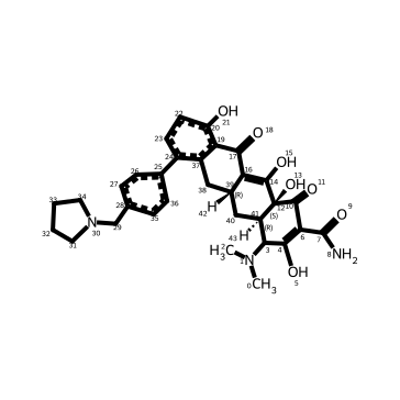 CN(C)C1C(O)=C(C(N)=O)C(=O)[C@@]2(O)C(O)=C3C(=O)c4c(O)ccc(-c5ccc(CN6CCCC6)cc5)c4C[C@H]3C[C@H]12